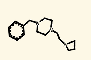 c1ccc(CN2CCN(CCN3CCC3)CC2)cc1